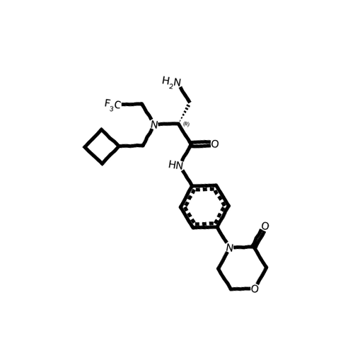 NC[C@H](C(=O)Nc1ccc(N2CCOCC2=O)cc1)N(CC1CCC1)CC(F)(F)F